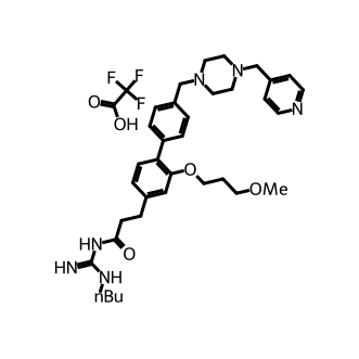 CCCCNC(=N)NC(=O)CCc1ccc(-c2ccc(CN3CCN(Cc4ccncc4)CC3)cc2)c(OCCCOC)c1.O=C(O)C(F)(F)F